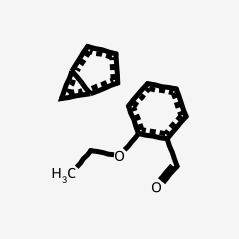 CCOc1ccccc1C=O.c1cc2cc-2c1